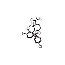 O=C(N1CCC[C@]2(S(=O)(=O)c3ccc(Cl)cc3)c3c(F)ccc(F)c3OC[C@H]12)C(F)(F)F